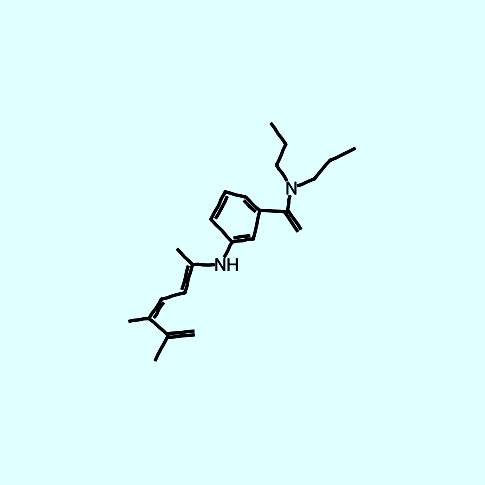 C=C(C)/C(C)=C\C=C(/C)Nc1cccc(C(=C)N(CCC)CCC)c1